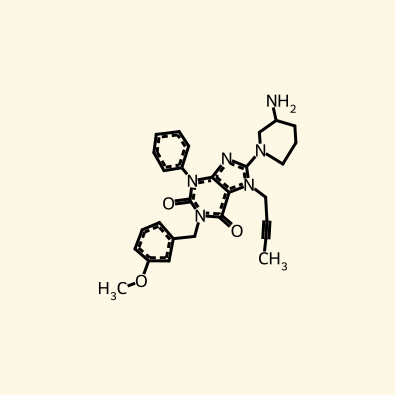 CC#CCn1c(N2CCCC(N)C2)nc2c1c(=O)n(Cc1cccc(OC)c1)c(=O)n2-c1ccccc1